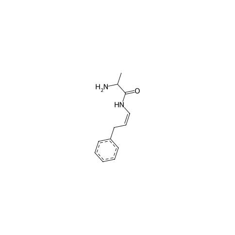 CC(N)C(=O)N/C=C\Cc1ccccc1